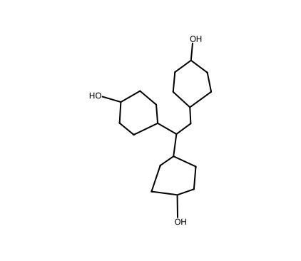 OC1CCC(CC(C2CCC(O)CC2)C2CCC(O)CC2)CC1